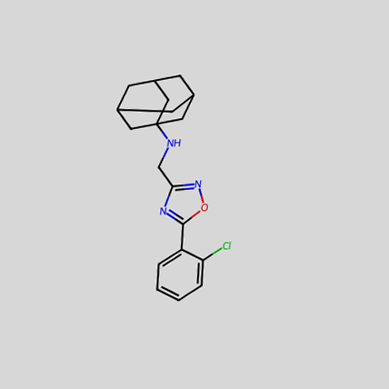 Clc1ccccc1-c1nc(CNC23CC4CC(CC(C4)C2)C3)no1